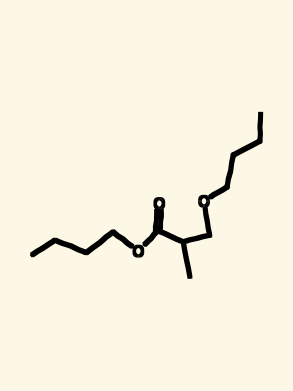 CCCCOCC(C)C(=O)OCCCC